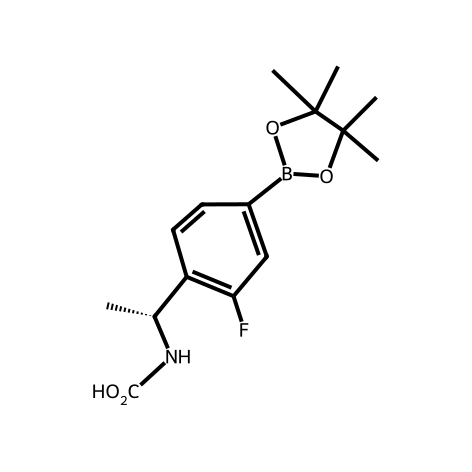 C[C@@H](NC(=O)O)c1ccc(B2OC(C)(C)C(C)(C)O2)cc1F